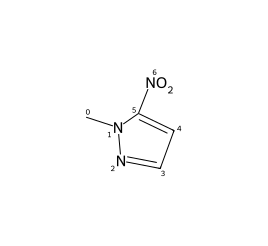 Cn1nccc1[N+](=O)[O-]